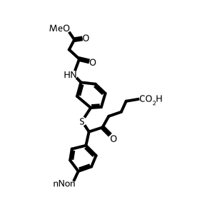 CCCCCCCCCc1ccc(C(Sc2cccc(NC(=O)CC(=O)OC)c2)C(=O)CCCC(=O)O)cc1